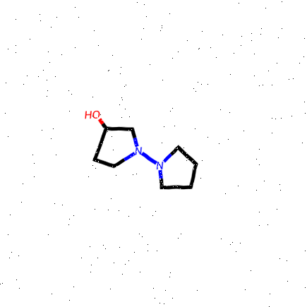 OC1CCN(N2CCCC2)C1